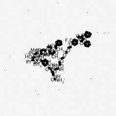 CCC(C)[C@@H]([C@@H](CC(=O)N1CCC[C@H]1[C@H](OC)[C@@H](C)C(=O)N[C@H](C)[C@@H](O)c1ccccc1)OC)N(C)C(=O)[C@@H](NC(O)[C@H](C(C)C)N(C)C(=O)OCc1ccc(NC(=O)[C@H](CCCNC(N)=O)NC(=O)[C@@H](NC(=O)COCCOCCOCCOc2ccc(N3C(=O)C(Sc4ccccc4)=C(Sc4ccccc4)C3=O)cc2C(F)(F)F)C(C)C)cc1)C(C)C